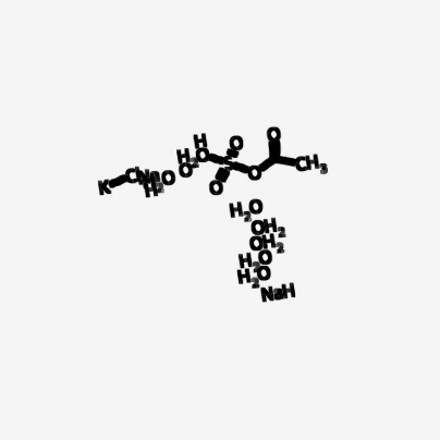 CC(=O)OS(=O)(=O)O.O.O.O.O.O.O.O.[Cl][K].[NaH].[NaH]